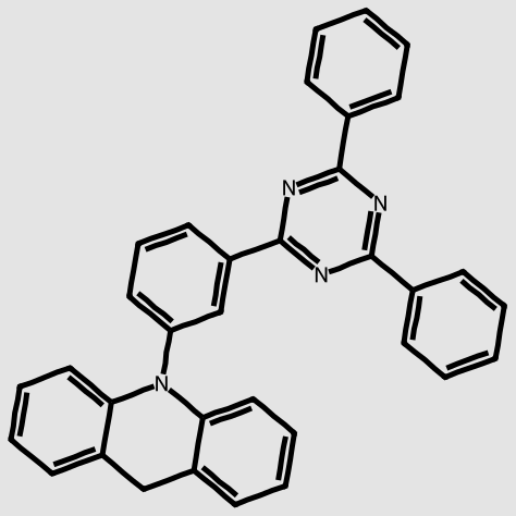 c1ccc(-c2nc(-c3ccccc3)nc(-c3cccc(N4c5ccccc5Cc5ccccc54)c3)n2)cc1